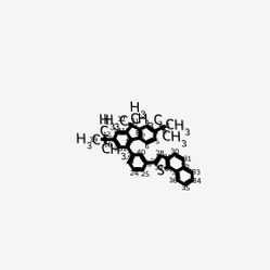 CC(C)(C)c1ccc2c(c1)C(C)(C)c1cc(C(C)(C)C)cc(-c3cccc(-c4cc5ccc6ccccc6c5s4)c3)c1-2